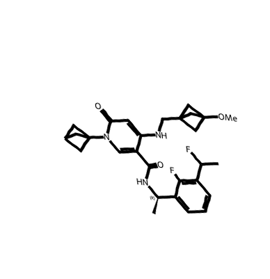 COC12CC(CNc3cc(=O)n(C45CC(C4)C5)cc3C(=O)N[C@H](C)c3cccc(C(C)F)c3F)(C1)C2